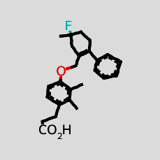 Cc1c(CCC(=O)O)ccc(OCC2=C(c3ccccc3)CCC(C)(F)C2)c1C